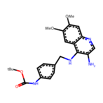 COc1cc2ncc(N)c(NCc3ccc(NC(=O)OC(C)(C)C)cc3)c2cc1OC